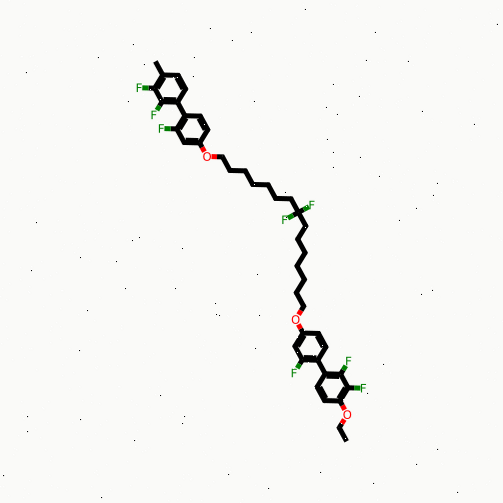 CCOc1ccc(-c2ccc(OCCCCCCCC(F)(F)CCCCCCCOc3ccc(-c4ccc(C)c(F)c4F)c(F)c3)cc2F)c(F)c1F